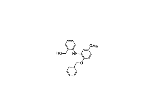 COc1ccc(OCc2ccccc2)c(Pc2ccccc2CO)c1